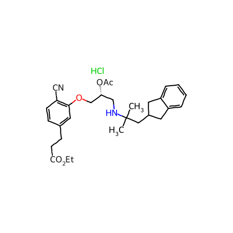 CCOC(=O)CCc1ccc(C#N)c(OC[C@@H](CNC(C)(C)CC2Cc3ccccc3C2)OC(C)=O)c1.Cl